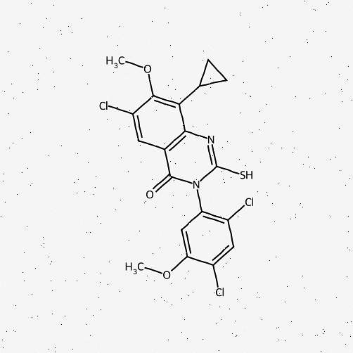 COc1cc(-n2c(S)nc3c(C4CC4)c(OC)c(Cl)cc3c2=O)c(Cl)cc1Cl